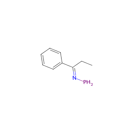 CC/C(=N\P)c1ccccc1